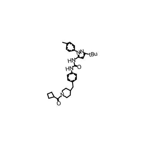 Cc1ccc(-n2nc(C(C)(C)C)cc2NC(=O)Nc2ccc(CC3CCN(C(=O)C4CCC4)CC3)cc2)cc1